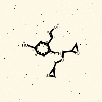 C(OCC1CO1)C1CO1.Cc1ccc(O)cc1C=CO